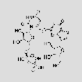 Nc1nc2c(ncn2[C@@H]2O[C@H](CO)[C@@H](O)[C@H]2O)c(=O)[nH]1.O=c1ccn([C@@H]2O[C@H](COP(=O)(O)OP(=O)(O)O)[C@@H](O)[C@H]2O)c(=O)[nH]1